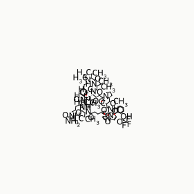 CCC(C)[C@@H]([C@@H](CC(=O)N1CCC[C@H]1[C@@H](OC)C(C)C(=O)N[C@@H](Cc1ccccc1)c1nccs1)OC)N(C)C(=O)[C@@H](NC(=O)[C@H](C(C)C)N(C)CCc1ccc(NC(=O)C(CCCNC(N)=O)NC(=O)[C@H](NC(=O)CCCCCN2C(=O)C=CC2=O)C(C)C)cc1)C(C)C.O=C(O)C(F)(F)F